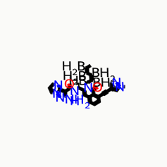 B=C(/C(B)=C(B)\C(B)=C(\B)C)n1c([C@H](C)NC(=O)c2c(N)nn3cccnc23)cc2cccc(C#Cc3cnn(C)c3)c2c1=O